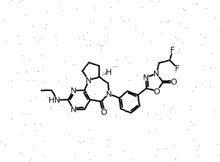 CCNc1ncc2c(n1)N1CCC[C@H]1CN(c1cccc(-c3nn(CC(F)F)c(=O)o3)c1)C2=O